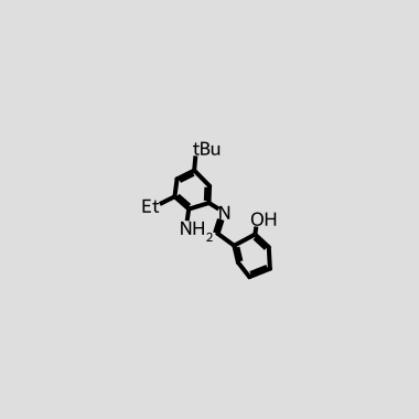 CCc1cc(C(C)(C)C)cc(N=Cc2ccccc2O)c1N